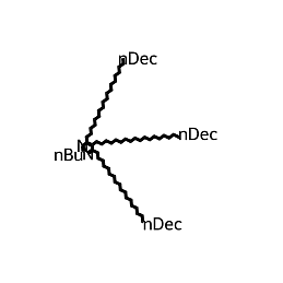 [CH2]CCCc1nc(CCCCCCCCCCCCCCCCCCCCCCCCCCCC)c(CCCCCCCCCCCCCCCCCCCCCCCCCCCC)c(CCCCCCCCCCCCCCCCCCCCCCCCCCCC)n1